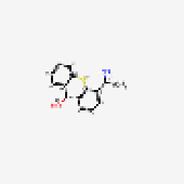 CC(N)c1ccccc1Sc1ccccc1CO